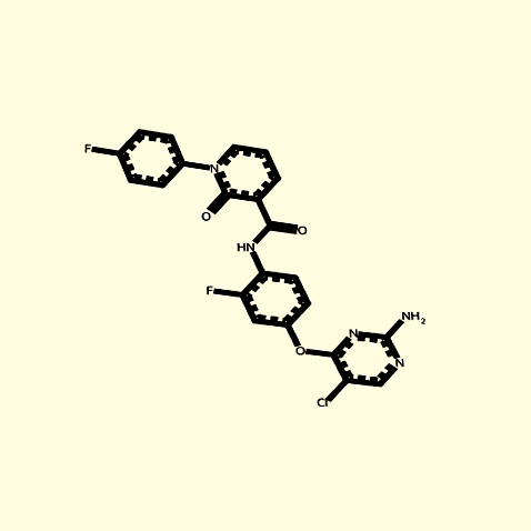 Nc1ncc(Cl)c(Oc2ccc(NC(=O)c3cccn(-c4ccc(F)cc4)c3=O)c(F)c2)n1